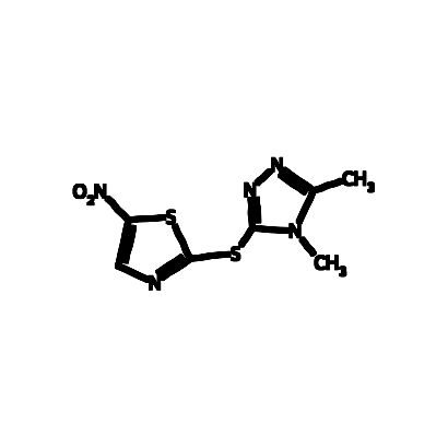 Cc1nnc(Sc2ncc([N+](=O)[O-])s2)n1C